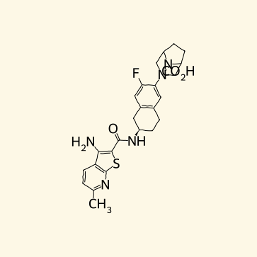 Cc1ccc2c(N)c(C(=O)N[C@@H]3CCc4cc(N5CC6CCC(C5)N6C(=O)O)c(F)cc4C3)sc2n1